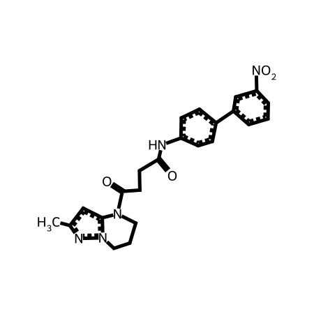 Cc1cc2n(n1)CCCN2C(=O)CCC(=O)Nc1ccc(-c2cccc([N+](=O)[O-])c2)cc1